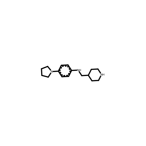 c1cc(N2CCCC2)ccc1NCC1CCNCC1